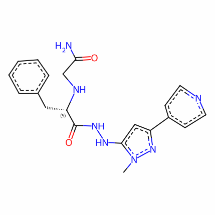 Cn1nc(-c2ccncc2)cc1NNC(=O)[C@H](Cc1ccccc1)NCC(N)=O